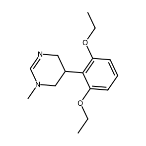 CCOc1cccc(OCC)c1C1CN=CN(C)C1